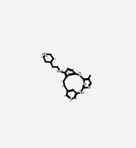 Cc1cnc2nc1Nc1ccc(NCCC3CCNCC3)c(c1)CCc1cncc(c1)N2